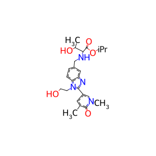 Cc1cc(-c2nc3cc(CNC(C(=O)OC(C)C)C(C)O)ccc3n2CCO)cn(C)c1=O